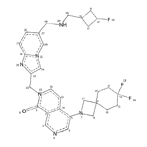 O=c1c2cncc(N3CC4(CCC(F)(F)CC4)C3)c2ccn1Cc1cn2cc(CNCC3CC(F)C3)ccc2n1